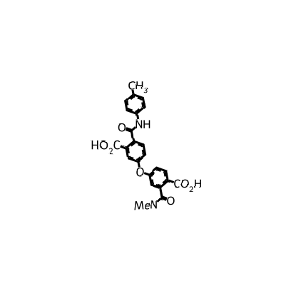 CNC(=O)c1cc(Oc2ccc(C(=O)Nc3ccc(C)cc3)c(C(=O)O)c2)ccc1C(=O)O